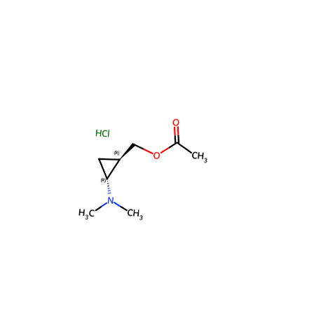 CC(=O)OC[C@@H]1C[C@H]1N(C)C.Cl